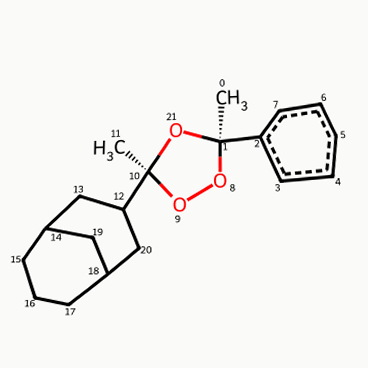 C[C@]1(c2ccccc2)OO[C@@](C)(C2CC3CCCC(C3)C2)O1